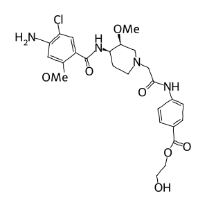 COc1cc(N)c(Cl)cc1C(=O)N[C@@H]1CCN(CC(=O)Nc2ccc(C(=O)OCCO)cc2)C[C@@H]1OC